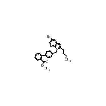 CCCCc1nc2nc(Br)cnc2n1Cc1ccc(-c2ccccc2C(=O)OC)cc1